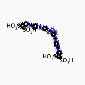 O=C(Nc1ccc(N=Nc2ccc(N=Nc3ccc4cc(S(=O)(=O)O)cc(S(=O)(=O)O)c4c3)cc2)cc1)Nc1ccc(N=Nc2ccc(N=Nc3ccc4cc(S(=O)(=O)O)cc(S(=O)(=O)O)c4c3)cc2)cc1